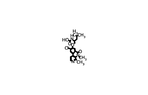 Cc1nccc2c3cc(Cl)c(OCC(CC(C)C)NC(=O)O)cc3c(=O)n(C)c12